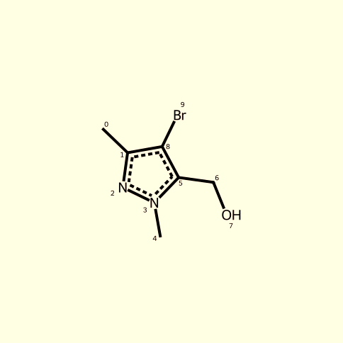 Cc1nn(C)c(CO)c1Br